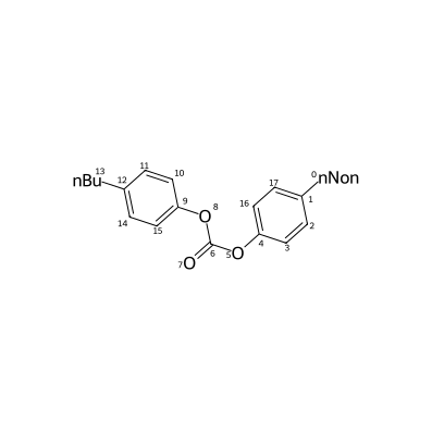 CCCCCCCCCc1ccc(OC(=O)Oc2ccc(CCCC)cc2)cc1